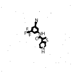 N#Cc1cc(NC(=O)c2csc3c2CCNC3)cc(C(F)(F)F)c1